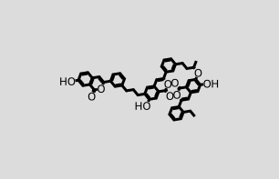 CCc1ccccc1-c1cc2cc(O)c(OC(C)CCc3cccc(-c4cc5cc(CCCc6cccc(-c7cc8ccc(O)cc8c(=O)o7)c6)c(O)cc5c(=O)o4)c3)cc2c(=O)o1